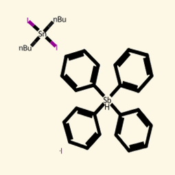 CCC[CH2][Sn]([I])([I])[CH2]CCC.[I].c1cc[c]([SbH]([c]2ccccc2)([c]2ccccc2)[c]2ccccc2)cc1